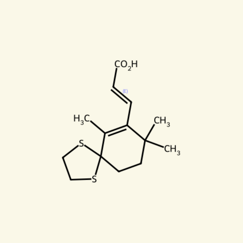 CC1=C(/C=C/C(=O)O)C(C)(C)CCC12SCCS2